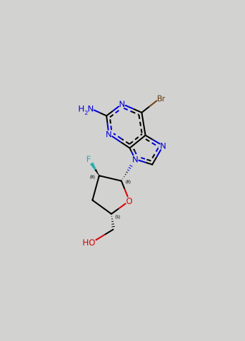 Nc1nc(Br)c2ncn([C@@H]3O[C@H](CO)C[C@H]3F)c2n1